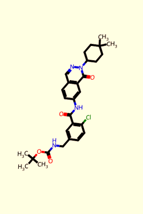 CC1(C)CCC(n2ncc3ccc(NC(=O)c4cc(CNC(=O)OC(C)(C)C)ccc4Cl)cc3c2=O)CC1